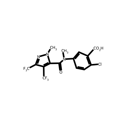 CN(C(=O)c1c(C(F)(F)F)c(C(F)(F)F)nn1C)c1ccc(Cl)c(C(=O)O)c1